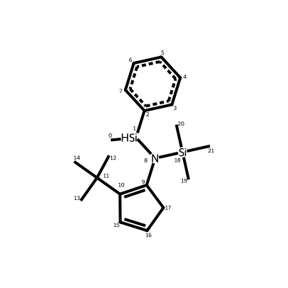 C[SiH](c1ccccc1)N(C1=C(C(C)(C)C)C=CC1)[Si](C)(C)C